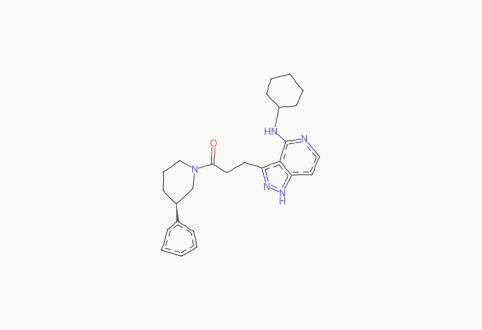 O=C(CCc1n[nH]c2ccnc(NC3CCCCC3)c12)N1CCC[C@H](c2ccccc2)C1